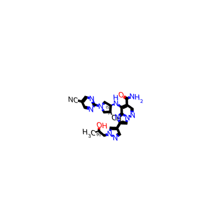 C[C@@H]1CN(c2ncc(C#N)cn2)C[C@H]1Nc1c(C(N)=O)cnn2cc(-c3cnn(C[C@@H](C)O)c3)nc12